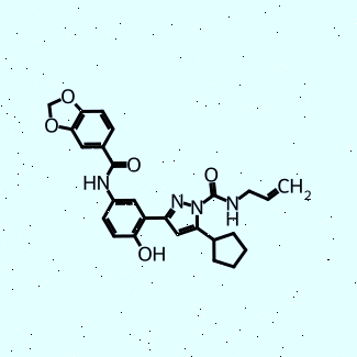 C=CCNC(=O)n1nc(-c2cc(NC(=O)c3ccc4c(c3)OCO4)ccc2O)cc1C1CCCC1